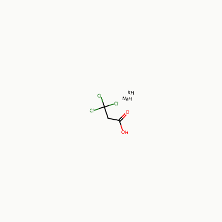 O=C(O)CC(Cl)(Cl)Cl.[KH].[NaH]